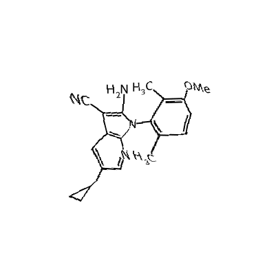 COc1ccc(C)c(-n2c(N)c(C#N)c3cc(C4CC4)cnc32)c1C